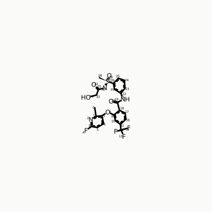 Cc1nc(F)ccc1Oc1cc(C(F)(F)F)ccc1C(=O)Nc1cccc([S@@](C)(=O)=NC(=O)CO)c1